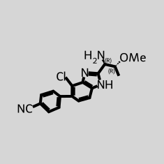 CO[C@H](C)[C@H](N)c1nc2c(Cl)c(-c3ccc(C#N)cc3)ccc2[nH]1